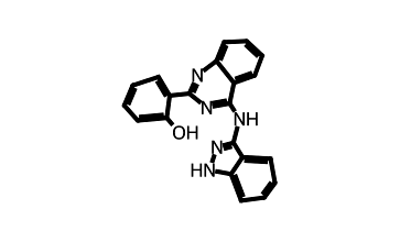 Oc1ccccc1-c1nc(Nc2n[nH]c3ccccc23)c2ccccc2n1